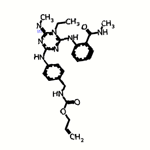 C=CCOC(=O)NCc1ccc(Nc2nc(Nc3ccc#cc3C(=O)NC)n(CC)/c(=N\C)n2)cc1